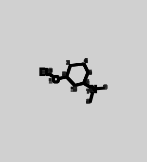 CCOC1CCCC(N(C)C)C1